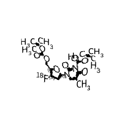 Cc1cn([C@H]2C[C@H]([18F])[C@@H](COC(=O)OC(C)(C)C)O2)c(=O)n(C(=O)OC(C)(C)C)c1=O